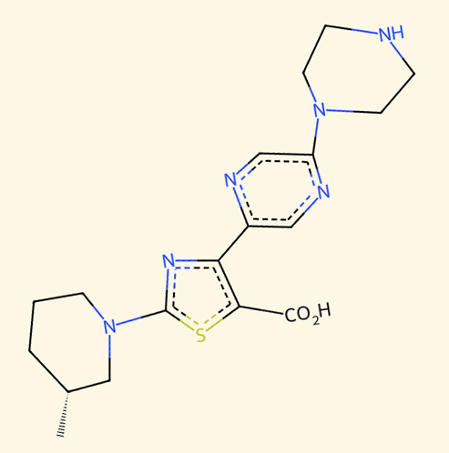 C[C@@H]1CCCN(c2nc(-c3cnc(N4CCNCC4)cn3)c(C(=O)O)s2)C1